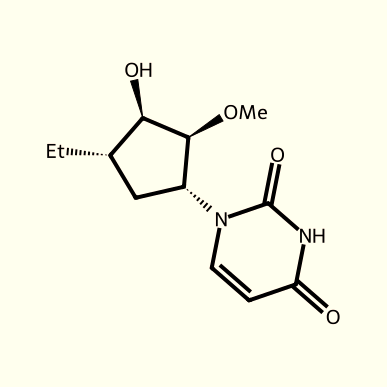 CC[C@H]1C[C@@H](n2ccc(=O)[nH]c2=O)[C@H](OC)[C@@H]1O